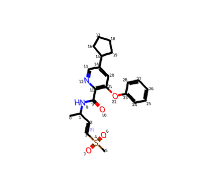 CC(/C=C/S(C)(=O)=O)NC(=O)c1ncc(C2CCCC2)cc1Oc1ccccc1